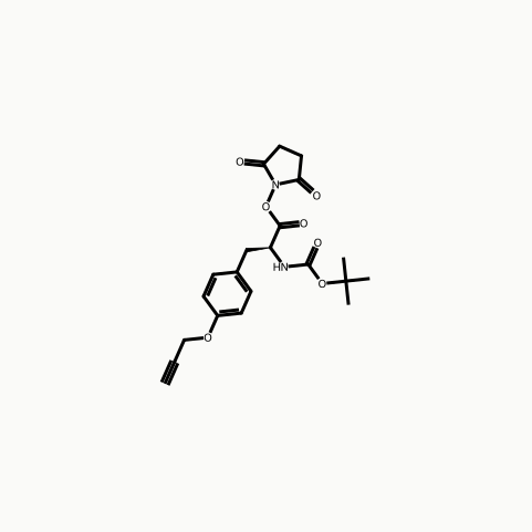 C#CCOc1ccc(C[C@H](NC(=O)OC(C)(C)C)C(=O)ON2C(=O)CCC2=O)cc1